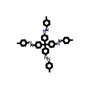 Cc1ccc(/N=N/c2ccc(C(c3ccc(/N=N/c4ccc(C)cc4)cc3)(c3ccc(/N=N/c4ccc(C)cc4)cc3)c3ccc(/N=N/c4ccc(C)cc4)cc3)cc2)cc1